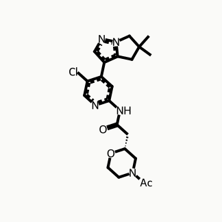 CC(=O)N1CCO[C@H](CC(=O)Nc2cc(-c3cnn4c3CC(C)(C)C4)c(Cl)cn2)C1